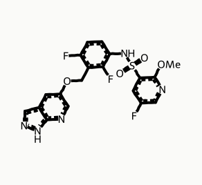 COc1ncc(F)cc1S(=O)(=O)Nc1ccc(F)c(COc2cnc3[nH]ncc3c2)c1F